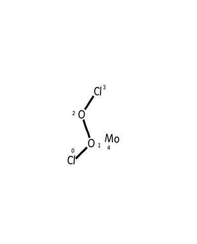 ClOOCl.[Mo]